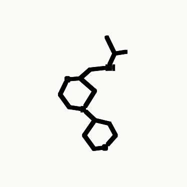 CC(C)NCC1CN(C2CCOCC2)CCO1